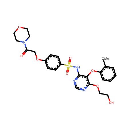 COc1ccccc1Oc1c(NS(=O)(=O)c2ccc(OCC(=O)N3CCOCC3)cc2)ncnc1OCCO